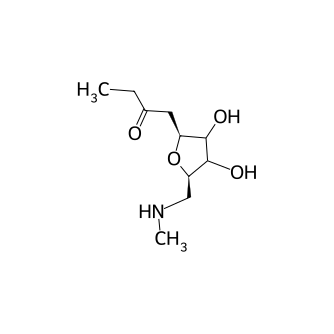 CCC(=O)C[C@@H]1O[C@H](CNC)C(O)C1O